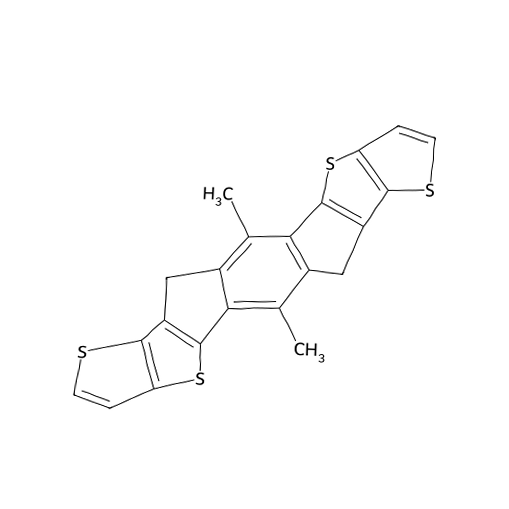 Cc1c2c(c(C)c3c1-c1sc4ccsc4c1C3)-c1sc3ccsc3c1C2